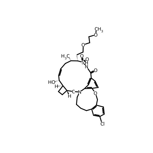 COCCOCC[C@H]1[C@@H](C)C/C=C\[C@@H](O)[C@@H]2CC[C@H]2CN2CCCCc3cc(Cl)ccc3COc3ccc(cc32)C(=O)NS1(=O)=O